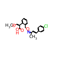 COC=C(C(=O)O)c1ccccc1CON=C(C)C=Cc1ccc(Cl)cc1